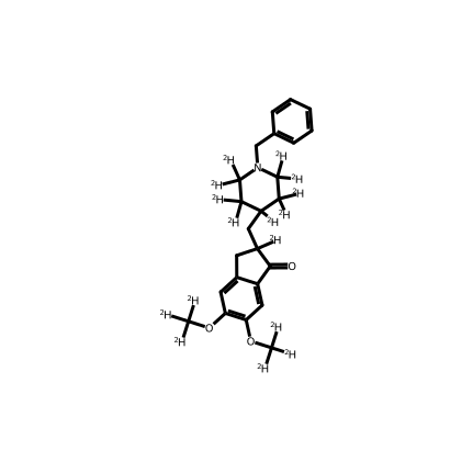 [2H]C([2H])([2H])Oc1cc2c(cc1OC([2H])([2H])[2H])C(=O)C([2H])(CC1([2H])C([2H])([2H])C([2H])([2H])N(Cc3ccccc3)C([2H])([2H])C1([2H])[2H])C2